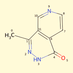 Cc1n[nH]c(=O)c2ccncc12